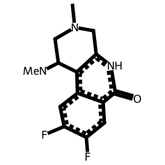 CNC1CN(C)Cc2[nH]c(=O)c3cc(F)c(F)cc3c21